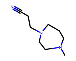 CN1CCCN(CCC#N)CC1